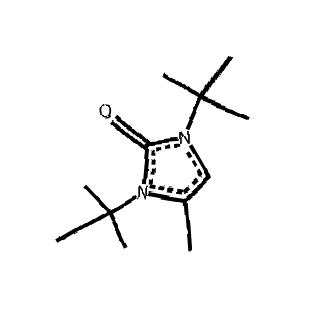 Cc1cn(C(C)(C)C)c(=O)n1C(C)(C)C